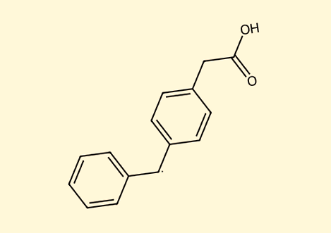 O=C(O)Cc1ccc([CH]c2ccccc2)cc1